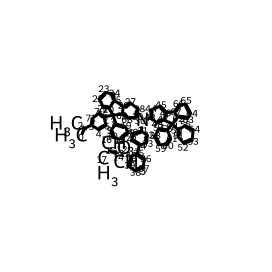 CC(C)c1ccc(C2(c3ccc(OC(C)C(C)C)cc3)c3ccccc3-c3ccc(N(c4ccc(-c5ccccc5)cc4)c4ccc5c(c4)C(c4ccccc4)(c4ccccc4)c4ccccc4-5)cc32)cc1